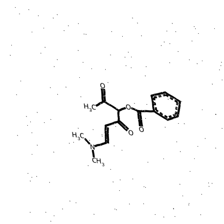 CC(=O)C(OC(=O)c1ccccc1)C(=O)C=CN(C)C